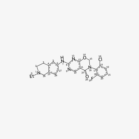 CCN1CCc2cc(Nc3ncc4c(n3)OCN(c3c(F)cccc3Cl)C4=O)ccc2C1